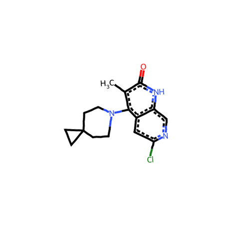 Cc1c(N2CCC3(CC2)CC3)c2cc(Cl)ncc2[nH]c1=O